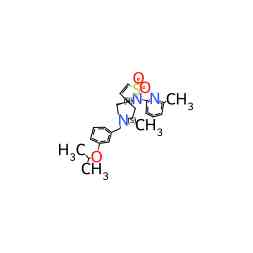 Cc1cccc(N2[C@]3(C=CS2(=O)=O)CCN(Cc2cccc(OC(C)C)c2)[C@@H](C)C3)n1